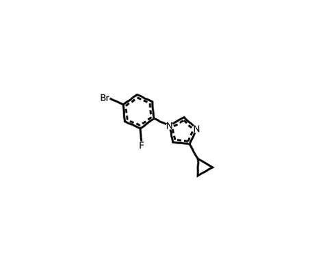 Fc1cc(Br)ccc1-n1cnc(C2CC2)c1